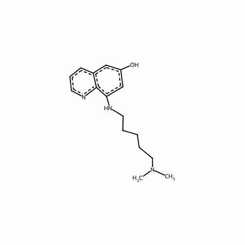 CN(C)CCCCCNc1cc(O)cc2cccnc12